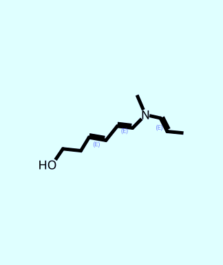 C/C=C/N(C)/C=C/C=C/CCO